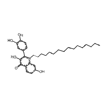 CCCCCCCCCCCCCCCCn1c(-c2ccc(O)c(O)c2)c(O)c(=O)c2ccc(O)cc21